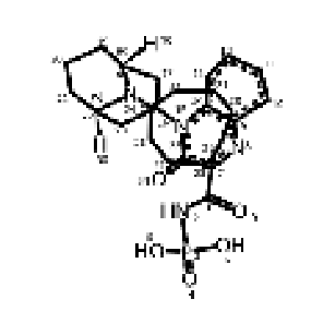 O=C(NP(=O)(O)O)c1nc2ccccc2n(C2C[C@H]3CCC[C@@H](C2)N3C2CCCCCCC2)c1=O